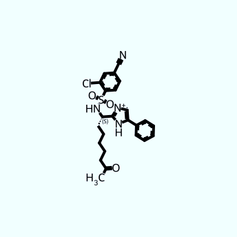 CC(=O)CCCCC[C@H](NS(=O)(=O)c1ccc(C#N)cc1Cl)C1=[N+]C=C(c2ccccc2)N1